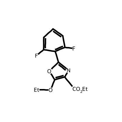 CCOC(=O)c1nc(-c2c(F)cccc2F)oc1OCC